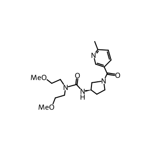 COCCN(CCOC)C(=O)N[C@@H]1CCN(C(=O)c2ccc(C)nc2)C1